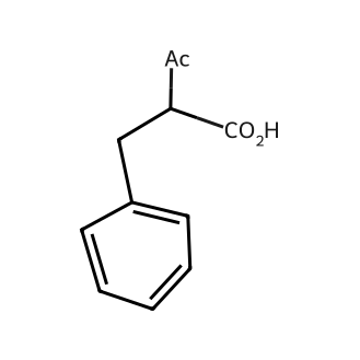 CC(=O)C(Cc1ccccc1)C(=O)O